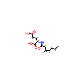 CCCCC(C)CC(=O)NC(CCC(=O)O)C(=O)O